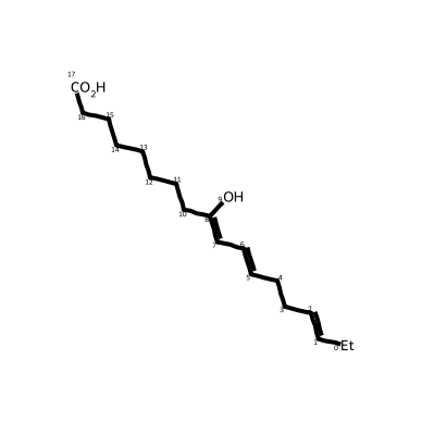 CCC=CCCC=CC=C(O)CCCCCCCC(=O)O